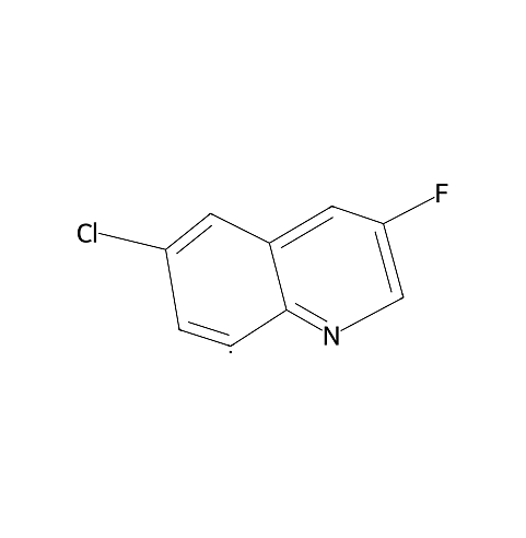 Fc1cnc2[c]cc(Cl)cc2c1